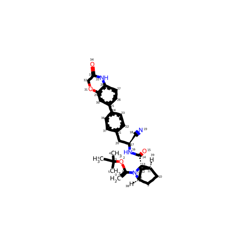 C=C(OC(C)(C)C)N1[C@@H]2CC[C@@H](C2)[C@H]1C(=O)N[C@H](C#N)Cc1ccc(-c2ccc3c(c2)OCC(=O)N3)cc1